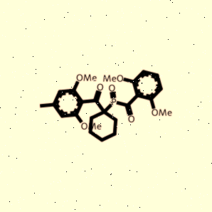 COc1cccc(OC)c1C(=O)[P](=O)C1(C(=O)c2c(OC)cc(C)cc2OC)CCCCC1